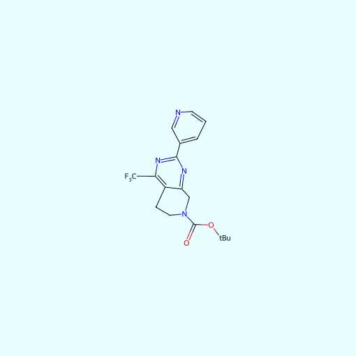 CC(C)(C)OC(=O)N1CCc2c(nc(-c3cccnc3)nc2C(F)(F)F)C1